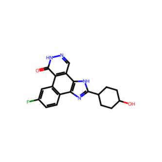 O=c1[nH]ncc2c3[nH]c(C4CCC(O)CC4)nc3c3ccc(F)cc3c12